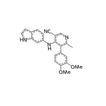 COc1ccc(-c2c(C)ncc(C#N)c2Nc2ccc3cc[nH]c3c2)cc1OC